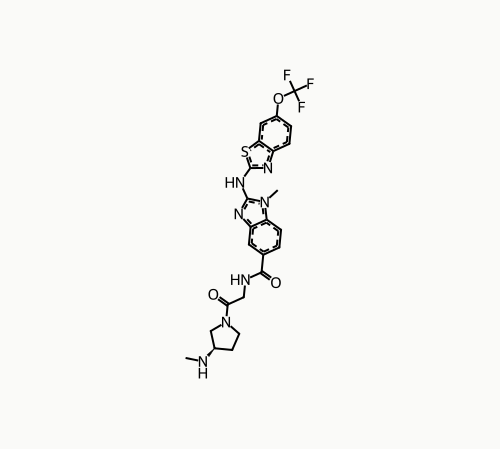 CN[C@@H]1CCN(C(=O)CNC(=O)c2ccc3c(c2)nc(Nc2nc4ccc(OC(F)(F)F)cc4s2)n3C)C1